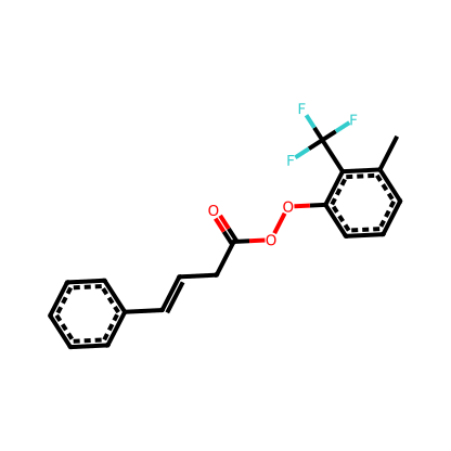 Cc1cccc(OOC(=O)CC=Cc2ccccc2)c1C(F)(F)F